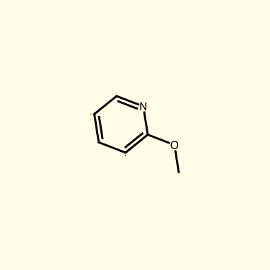 COc1[c]c[c]cn1